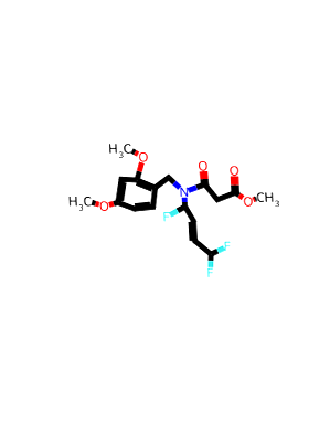 COC(=O)CC(=O)N(Cc1ccc(OC)cc1OC)C(F)C=CC(F)F